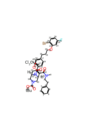 CN(CCc1ccccc1)C(=O)C1=C(c2ccc(CCCOc3cc(F)ccc3Br)cc2)C[C@@H]2CN(C(=O)OC(C)(C)C)C[C@H]1N2C(=O)OC(C)(C)C(Cl)(Cl)Cl